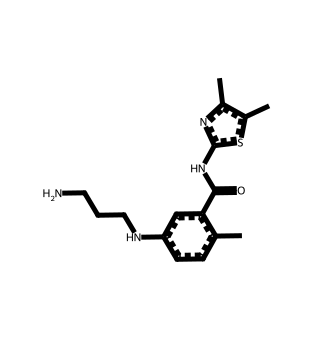 Cc1ccc(NCCCN)cc1C(=O)Nc1nc(C)c(C)s1